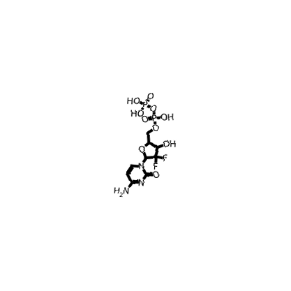 Nc1ccn(C2OC(COP(=O)(O)OP(=O)(O)O)C(O)C2(F)F)c(=O)n1